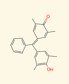 CC1=CC(=C(c2ccccc2)c2cc(C)c(O)c(C)c2)C=C(C)C1=O